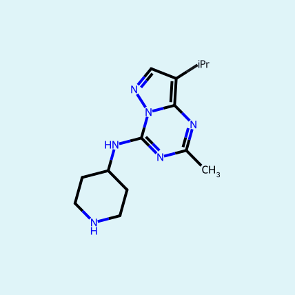 Cc1nc(NC2CCNCC2)n2ncc(C(C)C)c2n1